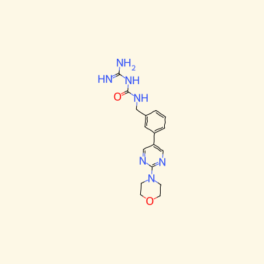 N=C(N)NC(=O)NCc1cccc(-c2cnc(N3CCOCC3)nc2)c1